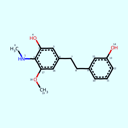 CNc1c(O)cc(CCc2cccc(O)c2)cc1OC